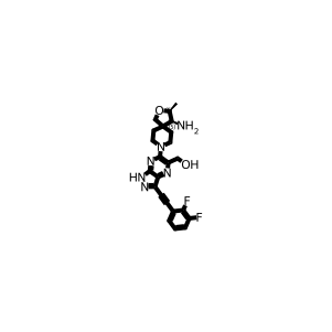 C[C@@H]1OCC2(CCN(c3nc4[nH]nc(C#Cc5cccc(F)c5F)c4nc3CO)CC2)[C@@H]1N